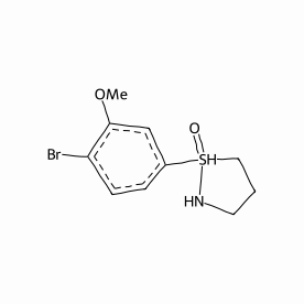 COc1cc([SH]2(=O)CCCN2)ccc1Br